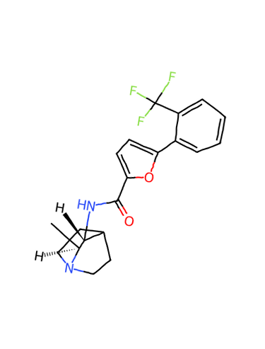 C[C@H]1[C@H](NC(=O)c2ccc(-c3ccccc3C(F)(F)F)o2)C2CCN1CC2